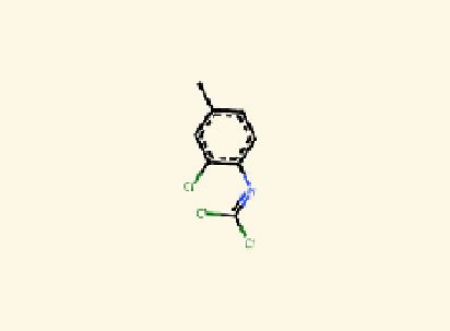 Cc1ccc(N=C(Cl)Cl)c(Cl)c1